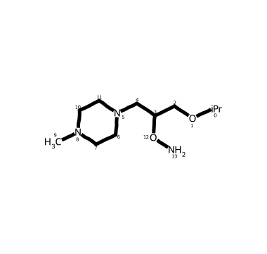 CC(C)OCC(CN1CCN(C)CC1)ON